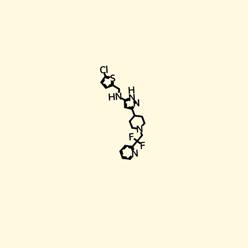 FC(F)(CN1CCC(c2cc(NCc3ccc(Cl)s3)[nH]n2)CC1)c1ccccn1